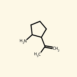 C=C(C)C1CCCC1N